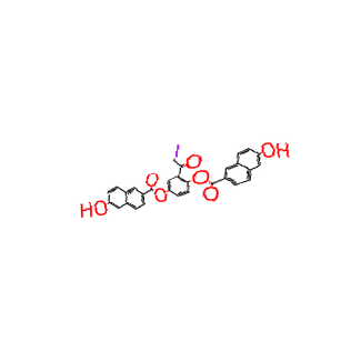 O=C(Oc1ccc(OC(=O)c2ccc3cc(O)ccc3c2)c(C(=O)CI)c1)c1ccc2cc(O)ccc2c1